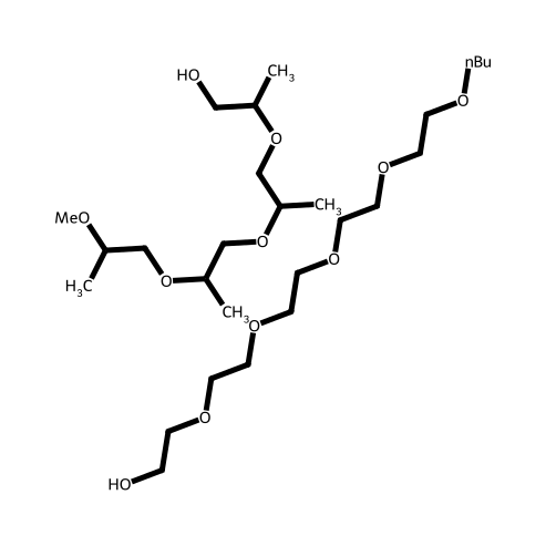 CCCCOCCOCCOCCOCCOCCO.COC(C)COC(C)COC(C)COC(C)CO